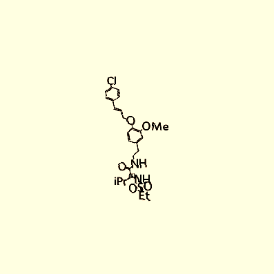 CCS(=O)(=O)N[C@H](C(=O)NCCc1ccc(OCC=Cc2ccc(Cl)cc2)c(OC)c1)C(C)C